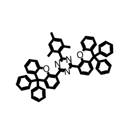 Cc1cc(C)c(-c2nc(-c3cccc4c3Oc3ccccc3C4(c3ccccc3)c3ccccc3)nc(-c3cccc4c3Oc3ccccc3C4(c3ccccc3)c3ccccc3)n2)c(C)c1